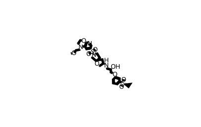 COCCN1CCOc2ncc(S(=O)(=O)N3CCC4(CC3)C[C@@H](NC[C@H](O)COc3cccc(S(=O)(=O)C5CC5)c3)CO4)cc21